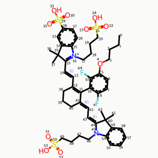 CCCCOc1ccc(F)c(C2=C(/C=C/C3=[N+](CCCCS(=O)(=O)O)c4ccc(S(=O)(=O)O)cc4C3(C)C)CCC/C2=C\C=C2\N(CCCCS(=O)(=O)O)c3ccccc3C2(C)C)c1F